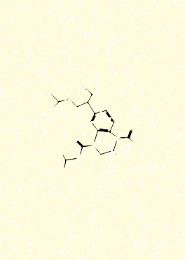 CC(=O)N1c2ccc(C(CN)CNC(C)C)cc2N(C(=O)OC(C)C)C[C@@H]1C